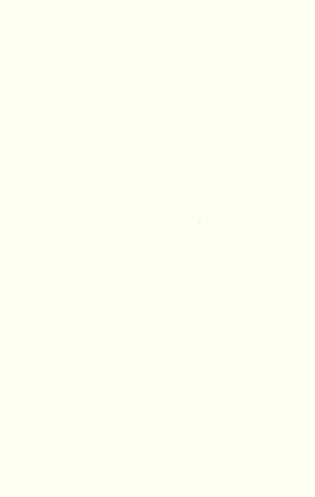 N=CC(=O)C(F)(F)F